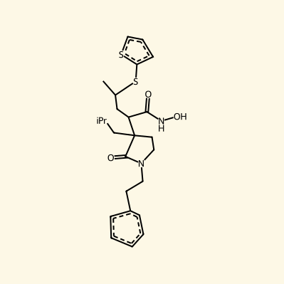 CC(C)CC1(C(CC(C)Sc2cccs2)C(=O)NO)CCN(CCc2ccccc2)C1=O